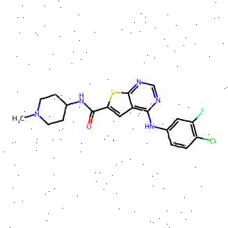 CN1CCC(NC(=O)c2cc3c(Nc4ccc(Cl)c(F)c4)ncnc3s2)CC1